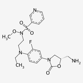 CCN(CCN(OC)S(=O)(=O)c1cccnc1)c1ccc(N2C[C@H](CN)OC2=O)cc1F